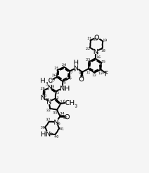 CC1=C2C(Nc3cc(NC(=O)c4cc(F)cc(N5CCOCC5)c4)ccc3C)=NC=NN2CC1C(=O)N1CCNCC1